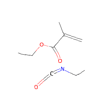 C=C(C)C(=O)OCC.CCN=C=O